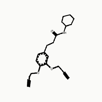 C#CCOc1ccc(CCC(=O)NC2CCCCC2)cc1OCC#C